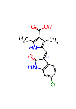 Cc1[nH]c(/C=C2\C(=O)Nc3cc(Cl)ccc32)c(C)c1C(=O)O